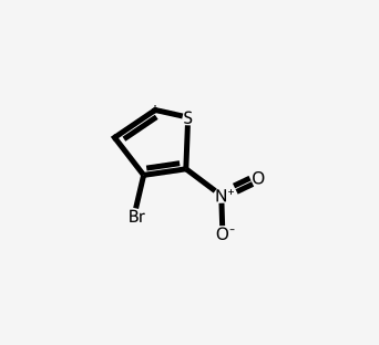 O=[N+]([O-])c1s[c]cc1Br